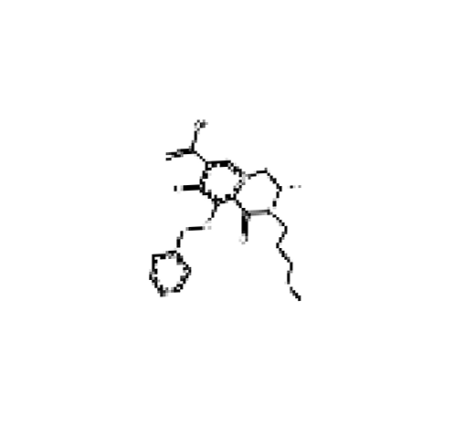 COCCCN1C(=O)c2c(OCc3ccccc3)c(=O)c(C(=O)O)cn2C[C@@H]1C